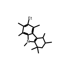 CCc1c(C)c(C)c2c(c1C)c1c(n2C)C(C)(C)CC(C)C1C